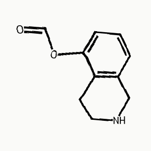 O=COc1cccc2c1CCNC2